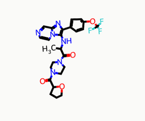 CC(Nc1c(-c2ccc(OC(F)(F)F)cc2)nc2cnccn12)C(=O)N1CCN(C(=O)C2CCCO2)CC1